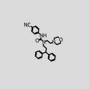 N#Cc1ccc(NC(=O)N(CCC(c2ccccc2)c2ccccc2)CCN2CCOCC2)cc1